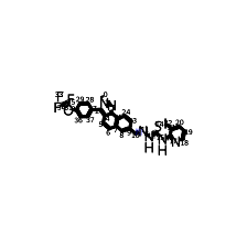 Cn1nc2c(ccc3cc(/C=N/NC(=S)Nc4ncccc4I)ccc32)c1-c1ccc(OC(F)(F)F)cc1